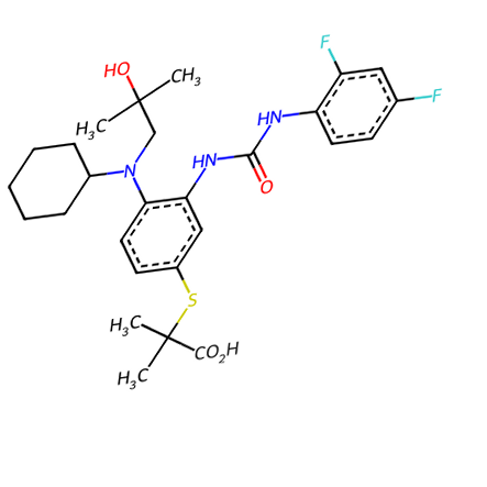 CC(C)(O)CN(c1ccc(SC(C)(C)C(=O)O)cc1NC(=O)Nc1ccc(F)cc1F)C1CCCCC1